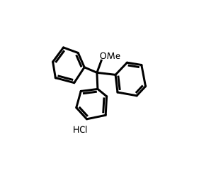 COC(c1ccccc1)(c1ccccc1)c1ccccc1.Cl